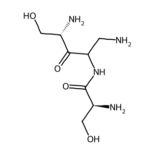 NCC(NC(=O)[C@@H](N)CO)C(=O)[C@@H](N)CO